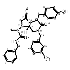 CN(C(=O)NCc1ccccc1)N1CC(=O)N2[C@@H](Cc3ccc(O)cc3)C(=O)N(Cc3cccc(C(F)(F)F)c3)C[C@@H]21